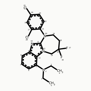 CCN(CC)c1cccc2nc3n(c12)CC(F)(F)CCN3c1ccc(Cl)cc1Cl